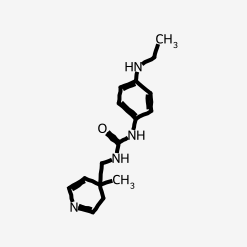 CCNc1ccc(NC(=O)NCC2(C)C=CN=CC2)cc1